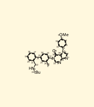 COc1ccc(-n2cnc3ncn(-c4ccc(-c5ccccc5CNC(C)(C)C)cc4F)c(=O)c32)cc1